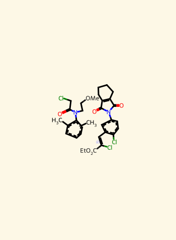 CCOC(=O)/C(Cl)=C/c1cc(N2C(=O)C3=C(CCCC3)C2=O)ccc1Cl.COCCN(C(=O)CCl)c1c(C)cccc1C